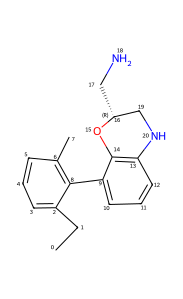 CCc1cccc(C)c1-c1cccc2c1O[C@H](CN)CN2